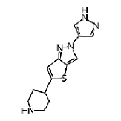 c1n[nH]cc1-n1cc2sc(C3CCNCC3)cc2n1